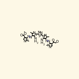 COC(=O)c1cnn(C)c1/N=N/c1c(C)nn(-c2nnc(-n3nc(C)c(/N=N/c4c(C(=O)C=O)cnn4C)c3N)s2)c1N